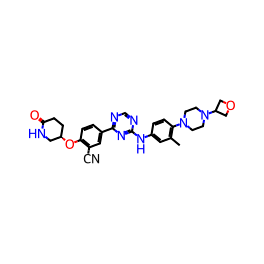 Cc1cc(Nc2ncnc(-c3ccc(O[C@@H]4CCC(=O)NC4)c(C#N)c3)n2)ccc1N1CCN(C2COC2)CC1